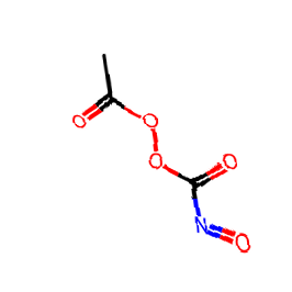 CC(=O)OOC(=O)N=O